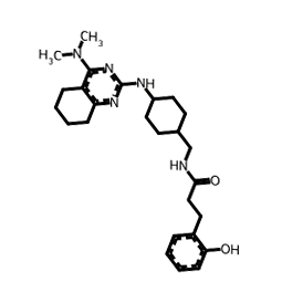 CN(C)c1nc(NC2CCC(CNC(=O)CCc3ccccc3O)CC2)nc2c1CCCC2